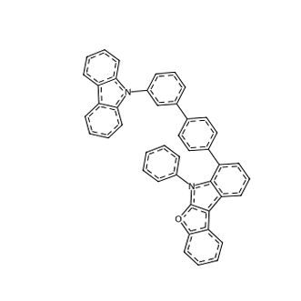 c1ccc(-n2c3oc4ccccc4c3c3cccc(-c4ccc(-c5cccc(-n6c7ccccc7c7ccccc76)c5)cc4)c32)cc1